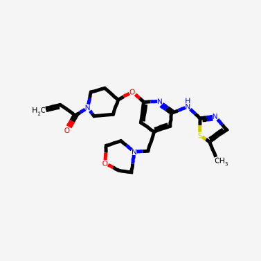 C=CC(=O)N1CCC(Oc2cc(CN3CCOCC3)cc(Nc3ncc(C)s3)n2)CC1